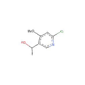 COc1cc(Cl)ncc1C(C)O